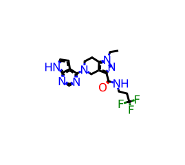 CCn1nc(C(=O)NCCC(F)(F)F)c2c1CCN(c1ncnc3[nH]ccc13)C2